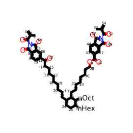 C=C(C)C(=O)N1C(=O)c2ccc(C(=O)CCCCCCCCCC3CCC(CCCCCC)C(CCCCCCCC)C3CCCCCCCCOC(=O)c3ccc4c(c3)C(=O)N(C(=O)C(=C)C)C4=O)cc2C1=O